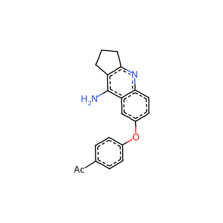 CC(=O)c1ccc(Oc2ccc3nc4c(c(N)c3c2)CCC4)cc1